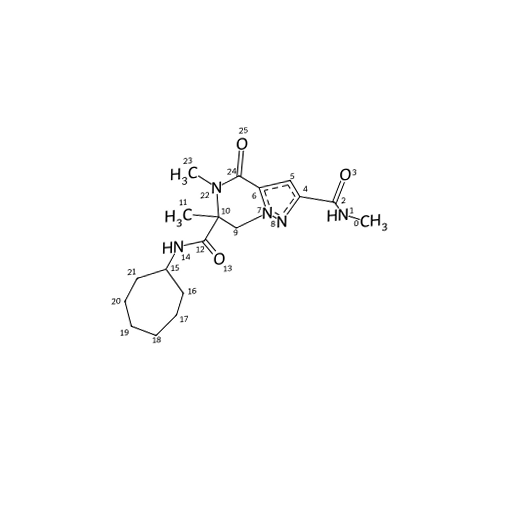 CNC(=O)c1cc2n(n1)CC(C)(C(=O)NC1CCCCCC1)N(C)C2=O